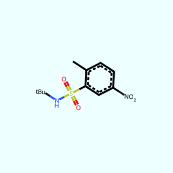 Cc1ccc([N+](=O)[O-])cc1S(=O)(=O)NC(C)(C)C